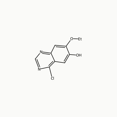 CCOc1cc2ncnc(Cl)c2cc1O